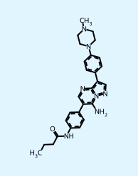 CCCC(=O)Nc1ccc(-c2cnc3c(-c4ccc(N5CCN(C)CC5)cc4)cnn3c2N)cc1